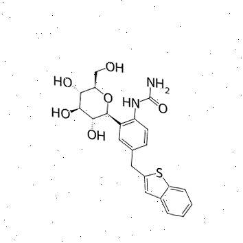 NC(=O)Nc1ccc(Cc2cc3ccccc3s2)cc1[C@@H]1O[C@H](CO)[C@@H](O)[C@H](O)[C@H]1O